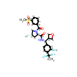 CC(F)(F)c1ccc([C@H](NC(=O)[C@H]2C[C@H](F)CN2C(=O)c2cccc(S(C)(=O)=O)c2)C2COC2)cc1F